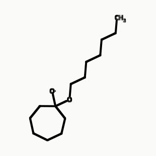 CCCCCCCOC1([O])CCCCCC1